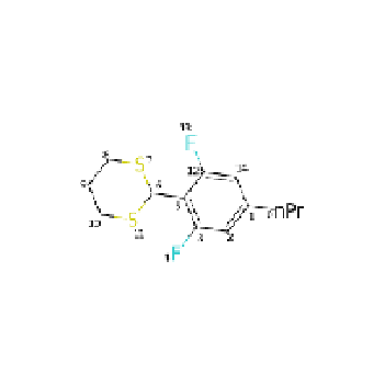 CCCc1cc(F)c(C2SCCCS2)c(F)c1